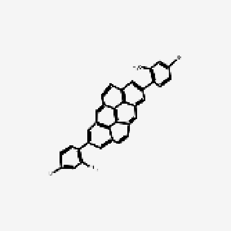 Cc1cc(Br)ccc1-c1cc2ccc3cc4cc(-c5ccc(Br)cc5C)cc5ccc6cc(c1)c2c3c6c54